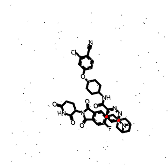 N#Cc1ccc(OC2CCC(NC(=O)c3ccc(N4C5CC4CN(Cc4cc6c(cc4F)C(=O)N(C4CCC(=O)NC4=O)C6=O)C5)nn3)CC2)cc1Cl